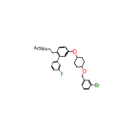 CC(=O)NCCc1ccc(OC2CCC(OCc3cccc(Br)c3)CC2)cc1-c1cccc(F)c1